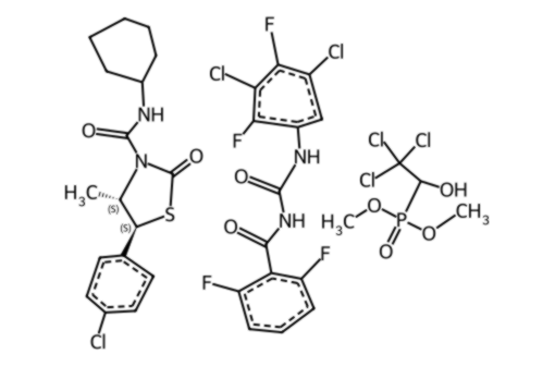 COP(=O)(OC)C(O)C(Cl)(Cl)Cl.C[C@H]1[C@H](c2ccc(Cl)cc2)SC(=O)N1C(=O)NC1CCCCC1.O=C(NC(=O)c1c(F)cccc1F)Nc1cc(Cl)c(F)c(Cl)c1F